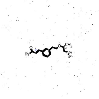 CC(C)NC[C@H](C)OCCc1cccc(/C=C/C(=O)C(C)C)c1